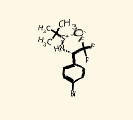 CC(C)(C)[S+]([O-])N[C@@H](c1ccc(Br)cc1)C(F)(F)F